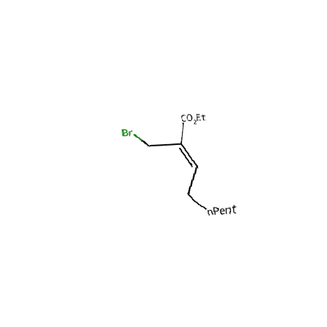 CCCCCCC=C(CBr)C(=O)OCC